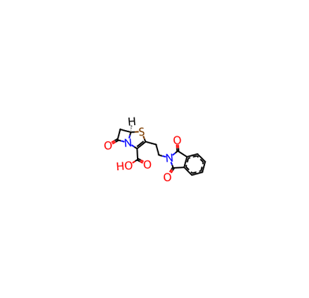 O=C(O)C1=C(CCN2C(=O)c3ccccc3C2=O)S[C@@H]2CC(=O)N12